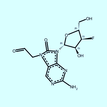 Nc1ncc2c(n1)n([C@@H]1O[C@H](CO)[C@@H](F)[C@H]1O)c(=O)n2CC=O